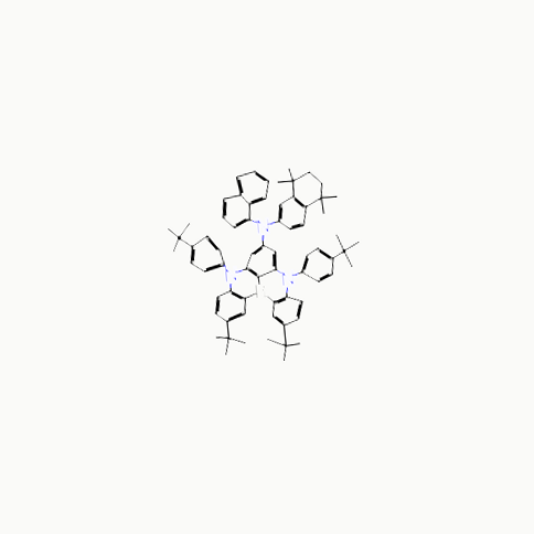 CC(C)(C)c1ccc(N2c3ccc(C(C)(C)C)cc3B3c4cc(C(C)(C)C)ccc4N(c4ccc(C(C)(C)C)cc4)c4cc(N(c5ccc6c(c5)C(C)(C)CCC6(C)C)c5cccc6ccccc56)cc2c43)cc1